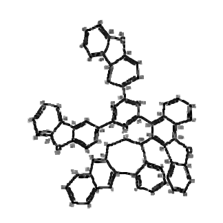 c1ccc2c(c1)-c1cc3ccccc3cc1CCC2c1c(-c2nc(-c3ccc4oc5ccccc5c4c3)nc(-c3ccc4oc5ccccc5c4c3)n2)c2ccccc2c2oc3ccccc3c12